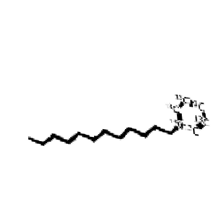 CCCCCCCCCCCC[13c]1[13cH][13cH][13cH][13cH][13cH]1